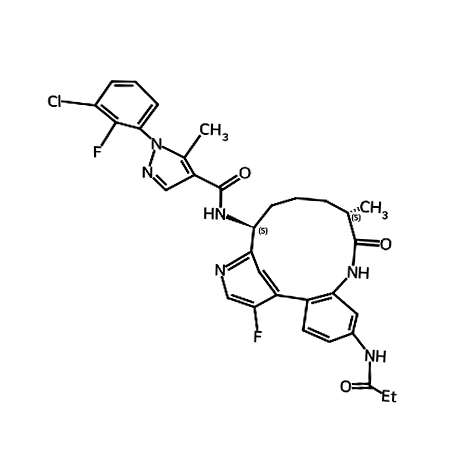 CCC(=O)Nc1ccc2c(c1)NC(=O)[C@@H](C)CCC[C@H](NC(=O)c1cnn(-c3cccc(Cl)c3F)c1C)c1cc-2c(F)cn1